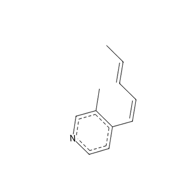 C/C=C/C=C\c1ccncc1C